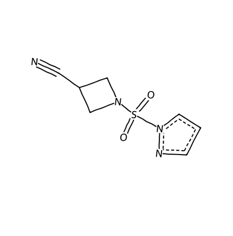 N#CC1CN(S(=O)(=O)n2cccn2)C1